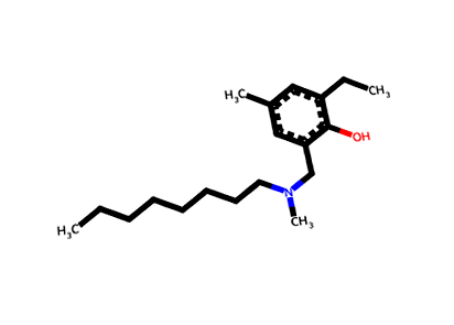 CCCCCCCCN(C)Cc1cc(C)cc(CC)c1O